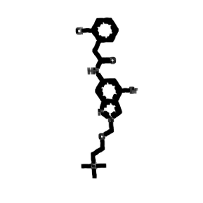 C[Si](C)(C)CCOCn1cc2c(Br)cc(NC(=O)Cc3ccccc3Cl)cc2n1